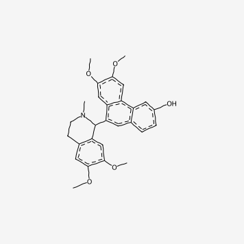 COc1cc2c(cc1OC)C(c1cc3ccc(O)cc3c3cc(OC)c(OC)cc13)N(C)CC2